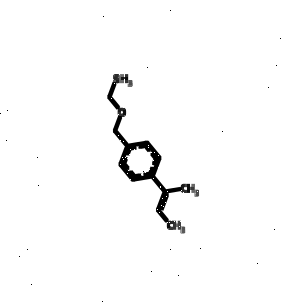 C/C=C(\C)c1ccc(COC[SiH3])cc1